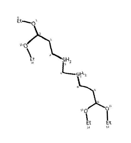 CCOC(CC[SiH2]C[SiH2]CCC(OCC)OCC)OCC